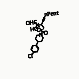 CCCCCC#CC(CS(=O)(=O)N1CCC(c2ccc(Cl)cc2)CC1)N(O)C=O